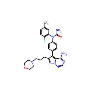 NC(=O)N(c1ccc(-c2c(CCCN3CCOCC3)cn3ncnc(N)c23)cc1)c1cc(C(F)(F)F)ccc1F